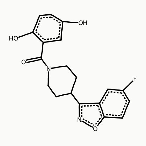 O=C(c1cc(O)ccc1O)N1CCC(c2noc3ccc(F)cc23)CC1